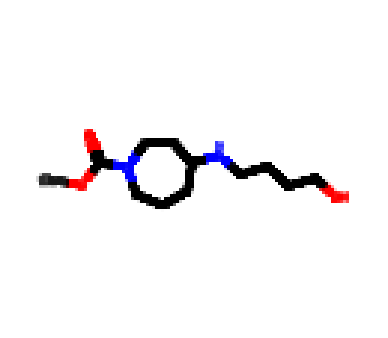 CC(C)(C)OC(=O)N1CCCC(NCCCCO)CC1